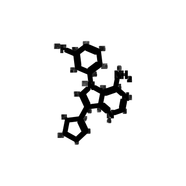 Nc1ncnc2c(C3=CCCC3)cn(-c3cccc(F)c3)c12